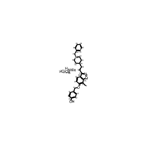 CNC.Cc1c(OCc2ccc(C#N)cc2)ccc2c(CCC3CCN(Cc4ccccc4)CC3)noc12.Cl.Cl